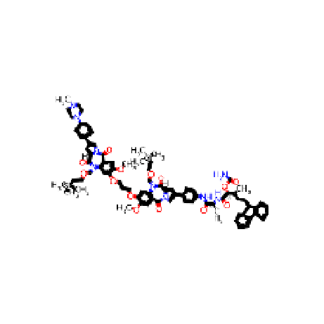 COc1cc2c(cc1OCCCOc1cc3c(cc1OC)C(=O)N1C=C(c4ccc(N5CCN(C)CC5)cc4)C[C@H]1C(=O)N3COCC[Si](C)(C)C)N(COCC[Si](C)(C)C)C(=O)[C@@H]1CC(c3ccc(NC(=O)[C@H](C)NC(=O)[C@@H](OC(N)=O)C(C)CCC4c5ccccc5-c5ccccc54)cc3)=CN1C2=O